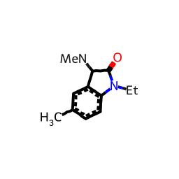 CCN1C(=O)C(NC)c2cc(C)ccc21